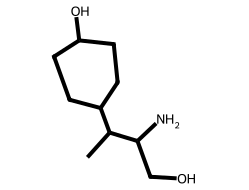 CC(C(N)CO)C1CCC(O)CC1